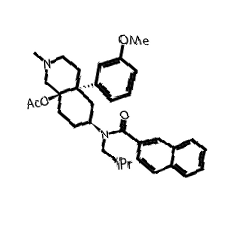 COc1cccc([C@@]23CCN(C)C[C@@]2(OC(C)=O)CC[C@H](N(CC(C)C)C(=O)c2ccc4ccccc4c2)C3)c1